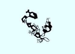 [2H]C1([2H])CC2(CC(N3CCC[C@H]3c3ccccc3C(C)C)C2)CC([2H])([2H])N1c1ccc(C(=O)O)c(Oc2cnc3[nH]ccc3c2)c1